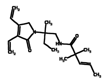 C=CC1=C(C=C)C(=O)N(C(C)(CC)CNC(=O)C(C)(C)/C=C/C)C1